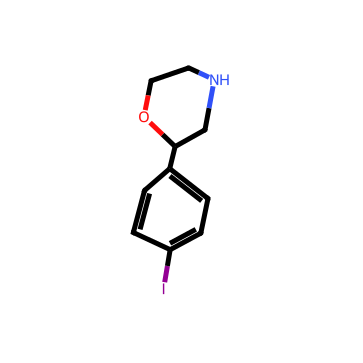 Ic1ccc(C2CNCCO2)cc1